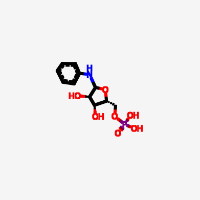 O=P(O)(O)OC[C@H]1OC(Nc2ccccc2)[C@H](O)[C@@H]1O